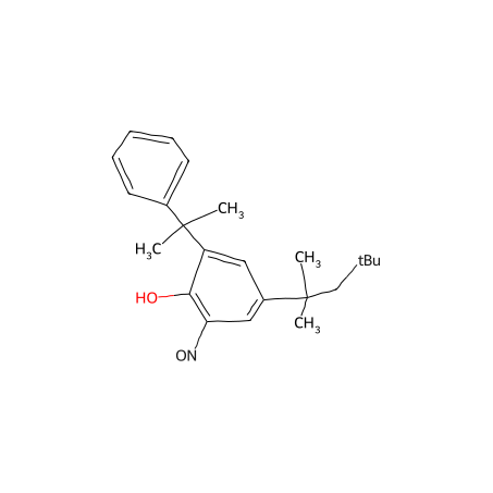 CC(C)(C)CC(C)(C)c1cc(N=O)c(O)c(C(C)(C)c2ccccc2)c1